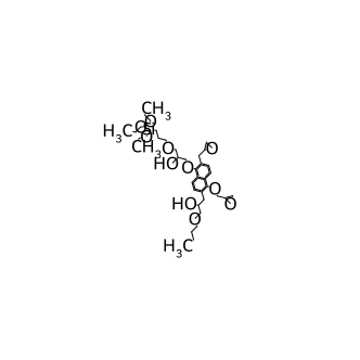 CCCCOCC(O)Cc1ccc2c(OCC(O)COCCC[Si](OCC)(OCC)OCC)c(CC3CO3)ccc2c1OCC1CO1